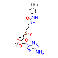 CC1(C)OC2[C@@H](O1)[C@@H](C[S+]([O-])CCCNC(=O)Nc1ccc(C(C)(C)C)cc1)O[C@H]2n1cnc2c(N)ncnc21